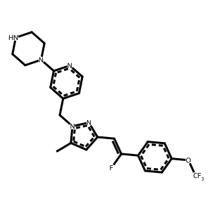 Cc1cc(C=C(F)c2ccc(OC(F)(F)F)cc2)nn1Cc1ccnc(N2CCNCC2)c1